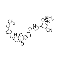 Cn1c(C(=O)N2CCN(Cc3ccc(OCC(F)(F)F)cc3)CC2)cc2ccc(Oc3ccc(-c4cc(C#N)cc(S(N)(=O)=O)c4)cn3)cc21